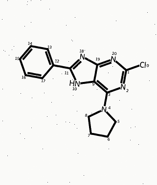 Clc1nc(N2CCCC2)c2[nH]c(-c3ccccc3)nc2n1